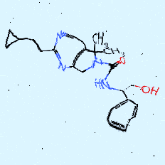 CC1(C)c2cnc(CCC3CC3)nc2CN1C(=O)N[C@H](CO)c1ccccc1